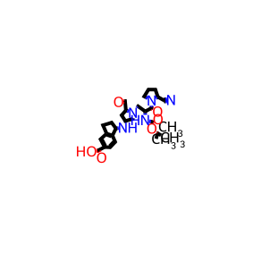 CC(C)(C)OC(=O)NC(CN1C[C@@H](NC2CCc3cc(C(=O)O)ccc32)CC1C=O)C(=O)N1CCCC1C#N